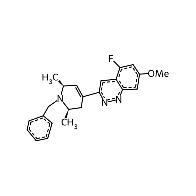 COc1cc(F)c2cc(C3=C[C@H](C)N(Cc4ccccc4)[C@H](C)C3)nnc2c1